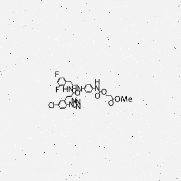 COC(=O)CCOC(=O)Nc1ccc(NC[C@H](Cc2cc(F)cc(F)c2)NC(=O)/C=C/c2cc(Cl)ccc2-n2cnnn2)cc1